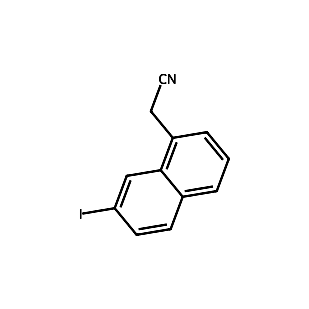 N#CCc1cccc2ccc(I)cc12